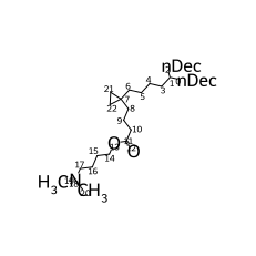 CCCCCCCCCCC(CCCCCCCCCC)CCCCC1(CCCC(=O)OCCCCN(C)C)CC1